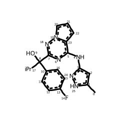 Cc1cc(Nc2nc(C(O)(c3ccc(F)cc3)C(C)C)nn3cccc23)n[nH]1